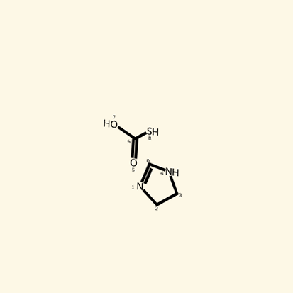 C1=NCCN1.O=C(O)S